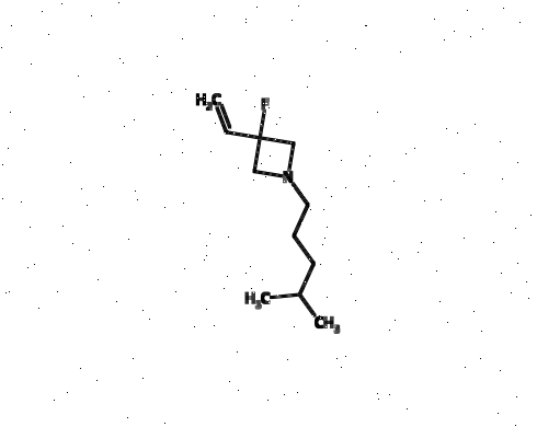 C=CC1(F)CN(CCCC(C)C)C1